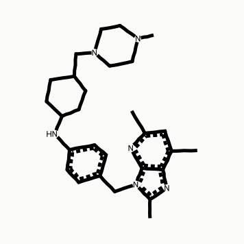 Cc1cc(C)c2nc(C)n(Cc3ccc(NC4CCC(CN5CCN(C)CC5)CC4)cc3)c2n1